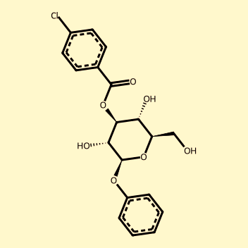 O=C(O[C@@H]1[C@@H](O)[C@H](Oc2ccccc2)O[C@H](CO)[C@H]1O)c1ccc(Cl)cc1